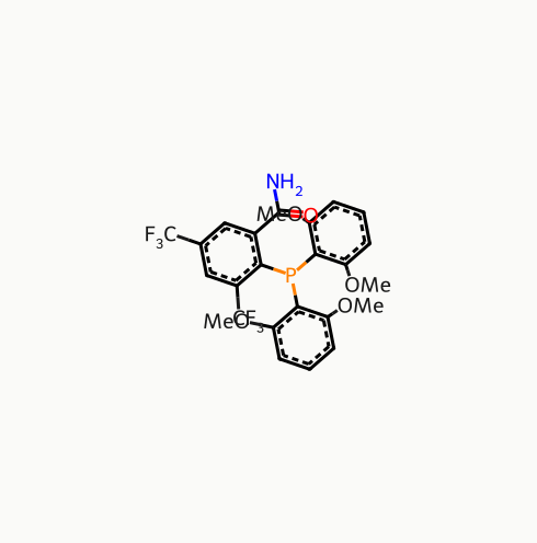 COc1cccc(OC)c1P(c1c(OC)cccc1OC)c1c(C(N)=O)cc(C(F)(F)F)cc1C(F)(F)F